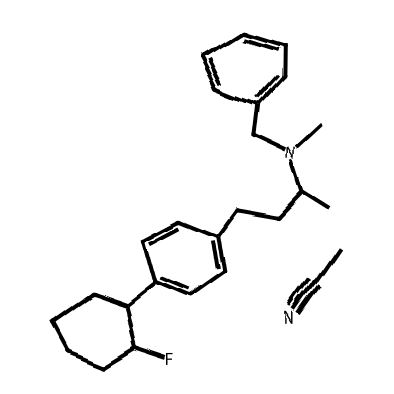 CC#N.CC(CCc1ccc(C2CCCCC2F)cc1)N(C)Cc1ccccc1